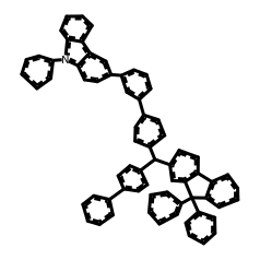 c1ccc(-c2ccc(C(c3ccc(-c4cccc(-c5ccc6c(c5)c5ccccc5n6-c5ccccc5)c4)cc3)c3ccc4c(c3)C(c3ccccc3)(c3ccccc3)c3ccccc3-4)cc2)cc1